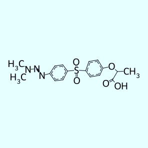 CC(Oc1ccc(S(=O)(=O)c2ccc(N=NN(C)C)cc2)cc1)C(=O)O